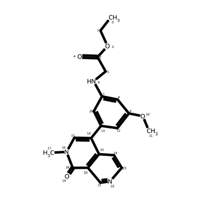 CCOC(=O)CNc1cc(OC)cc(-c2cn(C)c(=O)c3cnccc23)c1